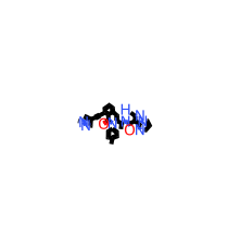 Cc1ccc(-n2c(C(C)NC(=O)c3c(C)nn4cccnc34)cc3cccc(C#Cc4cnn(C)c4)c3c2=O)cc1